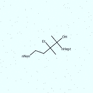 CCCCCCCCCCCC(C)(CC)C(C)(O)CCCCCCC